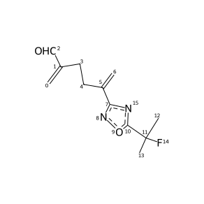 C=C(C=O)CCC(=C)c1noc(C(C)(C)F)n1